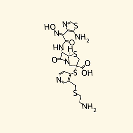 NCCSCc1cnccc1SC1(C(=O)O)CS[C@@H]2[C@H](NC(=O)C(=NO)c3ncsc3N)C(=O)N2C1